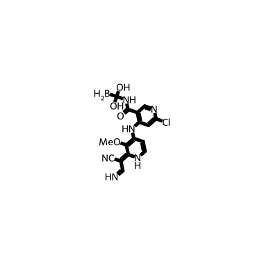 BC(O)(O)NC(=O)c1cnc(Cl)cc1NC1=C(OC)/C(=C(\C#N)C=N)NC=C1